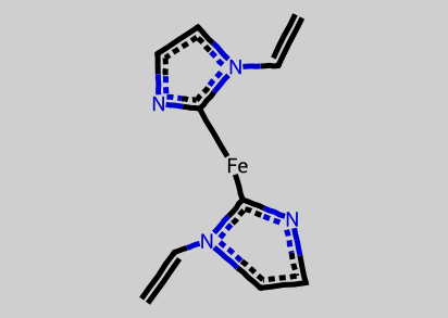 C=Cn1ccn[c]1[Fe][c]1nccn1C=C